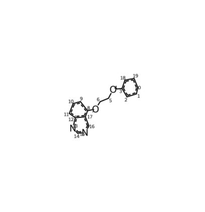 c1ccc(OCCOc2cccc3ncncc23)cc1